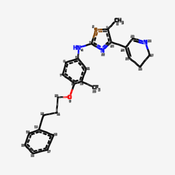 Cc1sc(Nc2ccc(OCCCc3ccccc3)c(C(F)(F)F)c2)nc1C1=CCCN=C1